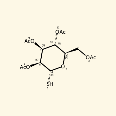 CC(=O)OC[C@H]1O[C@H](S)[C@@H](OC(C)=O)[C@@H](OC(C)=O)[C@@H]1OC(C)=O